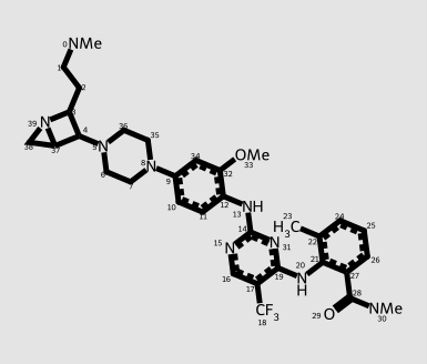 CNCCC1C(N2CCN(c3ccc(Nc4ncc(C(F)(F)F)c(Nc5c(C)cccc5C(=O)NC)n4)c(OC)c3)CC2)C2CN12